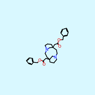 O=C(CC12CCCN(CCC3(CC(=O)OCc4ccccc4)CCCN(CC1)C3)C2)OCc1ccccc1